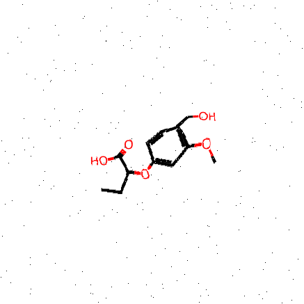 CCC(Oc1ccc(CO)c(OC)c1)C(=O)O